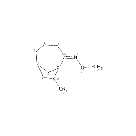 CON=C1CCCC2CC1N(C)C2